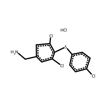 Cl.NCc1cc(Cl)c(Sc2ccc(Cl)cc2)c(Cl)c1